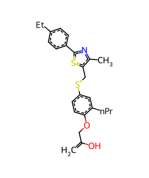 C=C(O)COc1ccc(SCc2sc(-c3ccc(CC)cc3)nc2C)cc1CCC